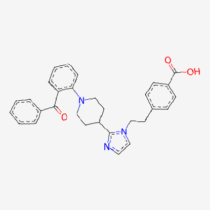 O=C(O)c1ccc(CCn2ccnc2C2CCN(c3ccccc3C(=O)c3ccccc3)CC2)cc1